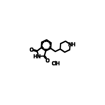 Cl.O=C1NC(=O)c2c(CC3CCNCC3)cccc21